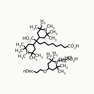 CCCCCCCCCCCCOC1CC(C)(C)N(C)C(C)(C)C1.CN1C(C)(C)CC(C(CCCCCCCC(=O)O)(C(=O)O)C2CC(C)(C)N(C)C(C)(C)C2)CC1(C)C.Cl.O=S(=O)(O)O